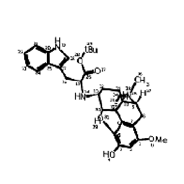 COc1cc(O)c2c3c1C[C@@H]1[C@@H]4CC[C@H](N[C@@H](Cc5c[nH]c6ccccc56)C(=O)OC(C)(C)C)[C@H](O2)[C@]34CCN1C